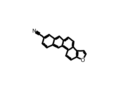 N#Cc1ccc2cc3c(ccc4c5ccoc5ccc34)cc2c1